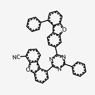 N#Cc1cccc2c1oc1cccc(-c3nc(-c4ccccc4)nc(-c4ccc5c(c4)oc4cccc(-c6ccccc6)c45)n3)c12